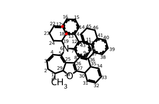 C[C@H]1CC=CC(N(c2ccccc2-c2ccccc2)C2CC=CCC2)=C2C3=C(OC21)C1C=CC=CC1C(c1cccc2c1C=CCC2)=C3